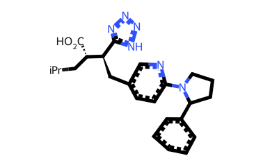 CC(C)C[C@H](C(=O)O)[C@H](Cc1ccc(N2CCCC2c2ccccc2)nc1)c1nnn[nH]1